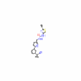 C#Cc1nc(NC(=O)NCc2ccc(-c3cccc(C4(C#N)CC4)c3)nc2)cs1